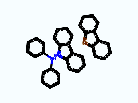 c1ccc(Nc2ccccc2)cc1.c1ccc2c(c1)[nH]c1ccccc12.c1ccc2c(c1)sc1ccccc12